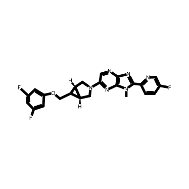 Cn1c(-c2ccc(F)cn2)nc2ncc(N3C[C@@H]4C(COc5cc(F)cc(F)c5)[C@@H]4C3)nc21